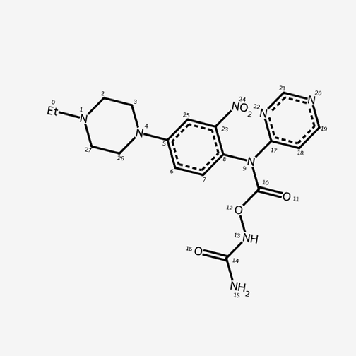 CCN1CCN(c2ccc(N(C(=O)ONC(N)=O)c3ccncn3)c([N+](=O)[O-])c2)CC1